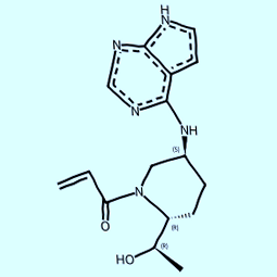 C=CC(=O)N1C[C@@H](Nc2ncnc3[nH]ccc23)CC[C@@H]1[C@@H](C)O